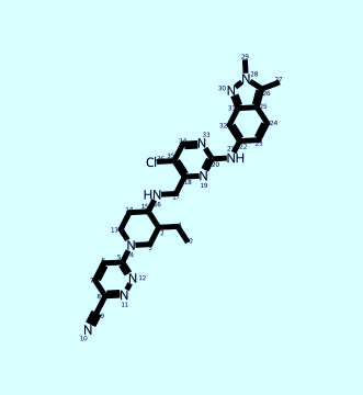 CCC1CN(c2ccc(C#N)nn2)CCC1NCc1nc(Nc2ccc3c(C)n(C)nc3c2)ncc1Cl